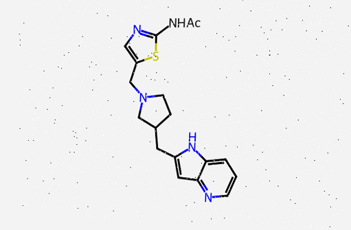 CC(=O)Nc1ncc(CN2CCC(Cc3cc4ncccc4[nH]3)C2)s1